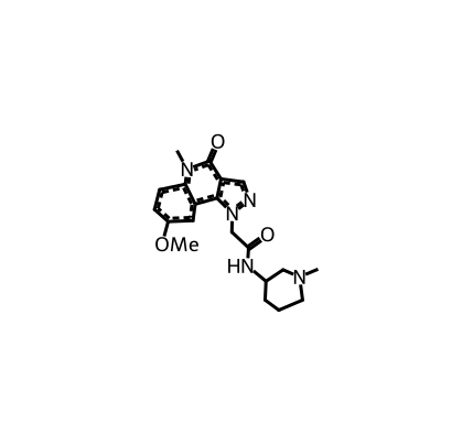 COc1ccc2c(c1)c1c(cnn1CC(=O)NC1CCCN(C)C1)c(=O)n2C